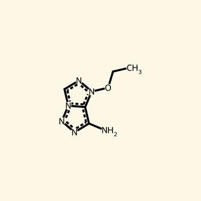 CCOn1ncn2nnc(N)c12